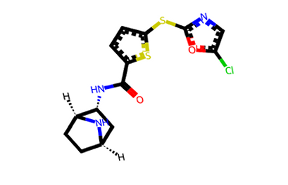 O=C(N[C@@H]1C[C@H]2CC[C@@H]1N2)c1ccc(Sc2ncc(Cl)o2)s1